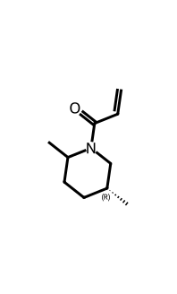 C=CC(=O)N1C[C@H](C)CCC1C